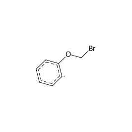 BrCOc1[c]cccc1